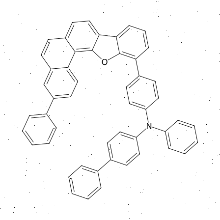 c1ccc(-c2ccc(N(c3ccccc3)c3ccc(-c4cccc5c4oc4c5ccc5ccc6cc(-c7ccccc7)ccc6c54)cc3)cc2)cc1